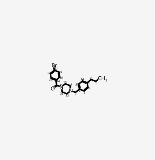 CCCc1ccc(CN2CCN(C(=O)c3ccc(Br)cc3)CC2)cc1